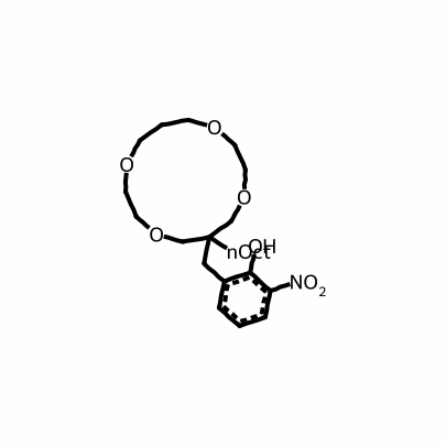 CCCCCCCCC1(Cc2cccc([N+](=O)[O-])c2O)COCCOCCCOCCOC1